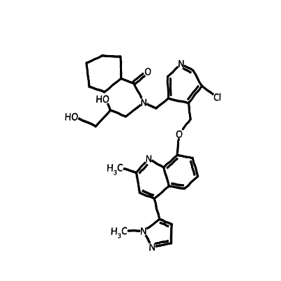 Cc1cc(-c2ccnn2C)c2cccc(OCc3c(Cl)cncc3CN(CC(O)CO)C(=O)C3CCCCC3)c2n1